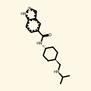 CC(C)NC[C@H]1CC[C@H](NC(=O)c2ccc3[nH]ncc3c2)CC1